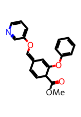 COC(=O)C1C=C/C(=C/Oc2cccnc2)C=C1Oc1ccccc1